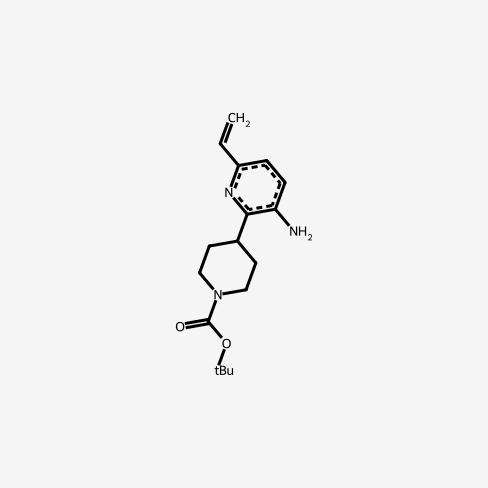 C=Cc1ccc(N)c(C2CCN(C(=O)OC(C)(C)C)CC2)n1